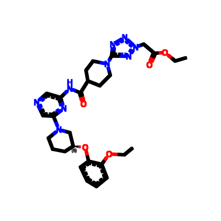 CCOC(=O)Cn1nnc(N2CCC(C(=O)Nc3cncc(N4CCC[C@@H](Oc5ccccc5OCC)C4)n3)CC2)n1